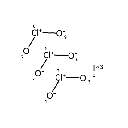 [In+3].[O-][Cl+][O-].[O-][Cl+][O-].[O-][Cl+][O-]